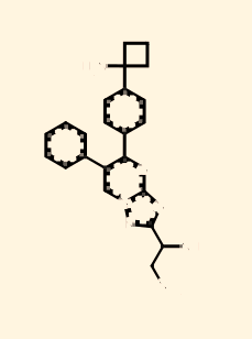 NCC(N)c1nc2nc(-c3ccc(C4(N)CCC4)cc3)c(-c3ccccc3)cn2n1